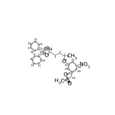 CC(CCCO[Si](c1ccccc1)(c1ccccc1)C(C)(C)C)Oc1cc(CS(C)(=O)=O)cc([N+](=O)[O-])c1